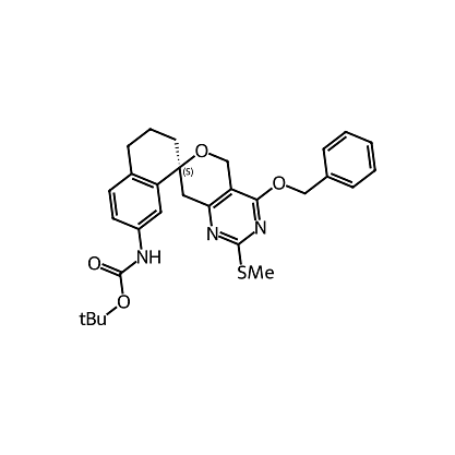 CSc1nc2c(c(OCc3ccccc3)n1)CO[C@@]1(CCCc3ccc(NC(=O)OC(C)(C)C)cc31)C2